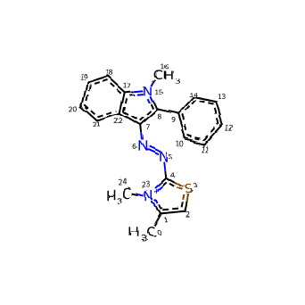 Cc1csc(/N=N/c2c(-c3ccccc3)n(C)c3ccccc23)[n+]1C